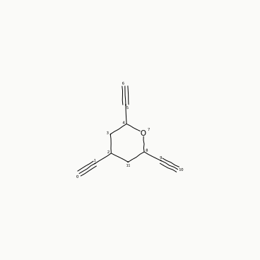 C#CC1CC(C#C)OC(C#C)C1